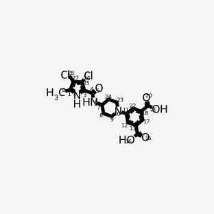 Cc1[nH]c(C(=O)NC2CCN(c3cc(C(=O)O)cc(C(=O)O)c3)CC2)c(Cl)c1Cl